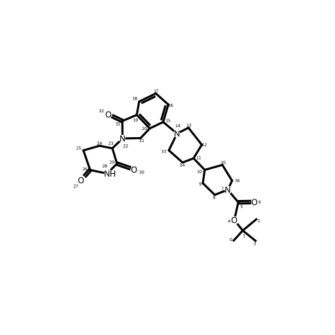 CC(C)(C)OC(=O)N1CCC(C2CCN(c3cccc4c3CN(C3CCC(=O)NC3=O)C4=O)CC2)CC1